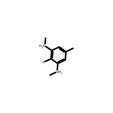 C[SiH2]c1cc(C)cc([SiH2]C)c1F